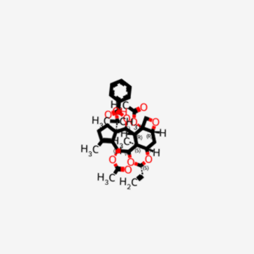 C=C[C@H]1O[C@H]2C[C@H]3OC[C@@]3(OC(C)=O)[C@H]3[C@H](OC(=O)c4ccccc4)[C@]4(C(C)(C)O)CCC(C)=C4[C@H](OC(C)=O)[C@H](O1)[C@]23C